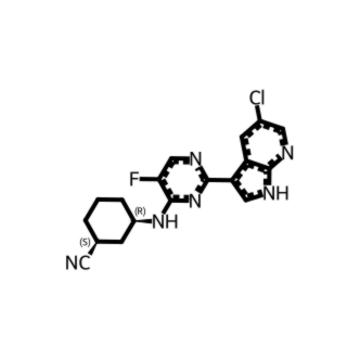 N#C[C@H]1CCC[C@@H](Nc2nc(-c3c[nH]c4ncc(Cl)cc34)ncc2F)C1